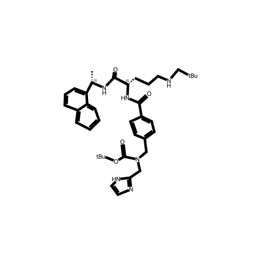 C[C@H](NC(=O)[C@H](CCCNCC(C)(C)C)NC(=O)c1ccc(CN(Cc2ncc[nH]2)C(=O)OC(C)(C)C)cc1)c1cccc2ccccc12